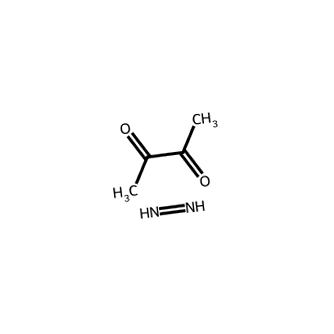 CC(=O)C(C)=O.N=N